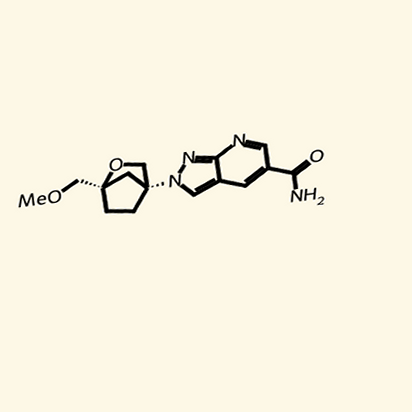 COC[C@]12CC[C@](n3cc4cc(C(N)=O)cnc4n3)(CO1)C2